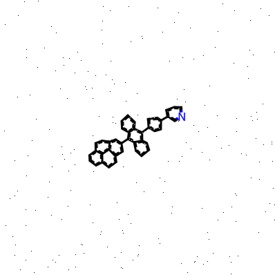 c1cncc(-c2ccc(-c3c4ccccc4c(-c4cc5ccc6cccc7ccc(c4)c5c67)c4ccccc34)cc2)c1